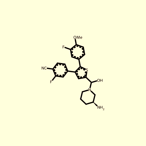 COc1ccc(-c2sc(C(O)N3CCC[C@H](N)C3)cc2-c2ccc(C#N)c(F)c2)cc1F